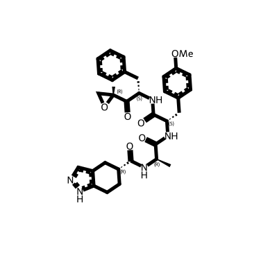 COc1ccc(C[C@H](NC(=O)[C@@H](C)NC(=O)[C@@H]2CCc3[nH]ncc3C2)C(=O)N[C@@H](Cc2ccccc2)C(=O)[C@@]2(C)CO2)cc1